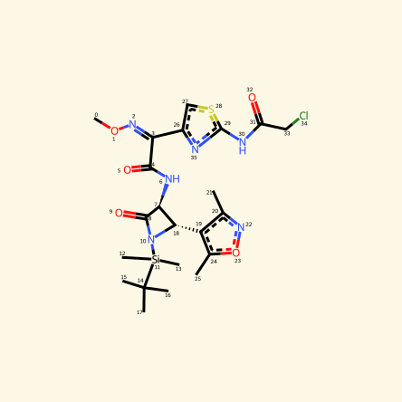 CO/N=C(\C(=O)N[C@@H]1C(=O)N([Si](C)(C)C(C)(C)C)[C@H]1c1c(C)noc1C)c1csc(NC(=O)CCl)n1